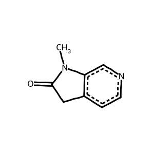 CN1C(=O)Cc2ccncc21